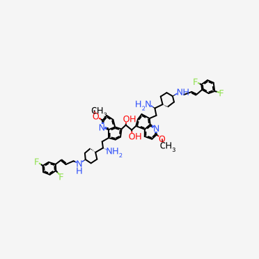 COc1ccc2c(C(O)C(O)c3ccc(C[C@H](N)[C@H]4CC[C@H](NC/C=C/c5cc(F)ccc5F)CC4)c4nc(OC)ccc34)ccc(C[C@@H](N)[C@H]3CC[C@H](NC/C=C/c4cc(F)ccc4F)CC3)c2n1